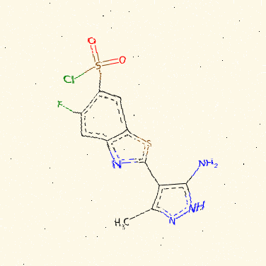 Cc1n[nH]c(N)c1-c1nc2cc(F)c(S(=O)(=O)Cl)cc2s1